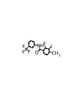 Cc1ccc(C(=O)Nc2cccc(C(F)(F)F)c2)c(F)c1I